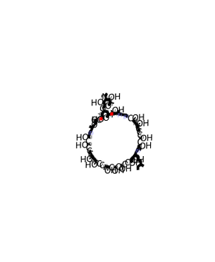 CCC(C)CCCC1/C=C(\C)[C@@H](O)C[C@H](O)CCC[C@H](O)[C@@H](C)[C@H](O)C/C=C/C=C(\C)[C@@H](O)[C@H](C)[C@@H]2C[C@H](OC3O[C@H](C)[C@@H](O)[C@H](N(C)C)[C@H]3O)[C@@H](C)C(O)(CC(=O)OC(C)/C=C/[C@@H](O)C[C@@H](O)CCC[C@H](O)[C@@H](C)[C@H](O)CC[C@H](C)[C@H](O)C[C@@H](O)C[C@H](O)CCC(O)[C@@H]1O)O2